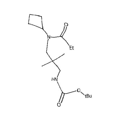 CCC(=O)N(CC(C)(C)CNC(=O)OC(C)(C)C)C1CCC1